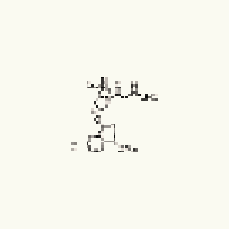 COc1cnc(O[C@@H]2CC(C(N)=O)N(C(=O)CNC=O)C2)c2cc(Cl)ccc12